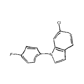 Fc1ccc(-n2ccc3c[c]c(Cl)cc32)cc1